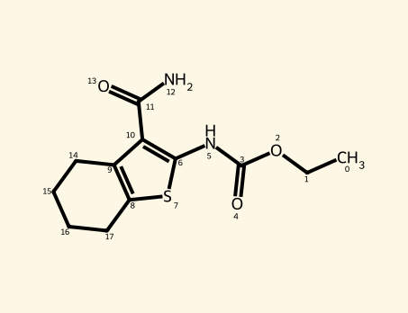 CCOC(=O)Nc1sc2c(c1C(N)=O)CCCC2